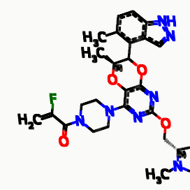 C=C(F)C(=O)N1CCN(c2nc(OC[C@@H]3CCCN3C)nc3c2O[C@@H](C)C(c2c(C)ccc4[nH]ncc24)O3)CC1